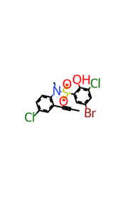 CC#Cc1cc(Cl)ccc1N(C)S(=O)(=O)c1cc(Br)cc(Cl)c1O